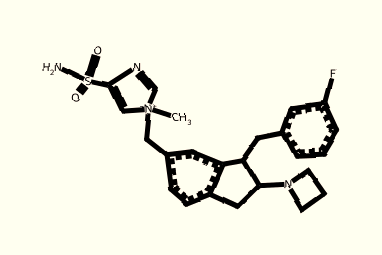 C[N+]1(Cc2ccc3c(c2)C(Cc2cccc(F)c2)C(N2CCC2)C3)C=NC(S(N)(=O)=O)=C1